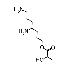 CC(O)C(=O)OCCCC(N)CCCN